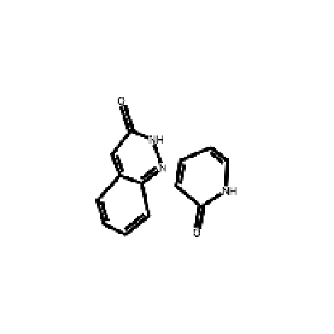 O=c1cc2ccccc2n[nH]1.O=c1cccc[nH]1